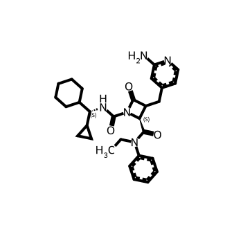 CCN(C(=O)[C@@H]1C(Cc2ccnc(N)c2)C(=O)N1C(=O)N[C@@H](C1CCCCC1)C1CC1)c1ccccc1